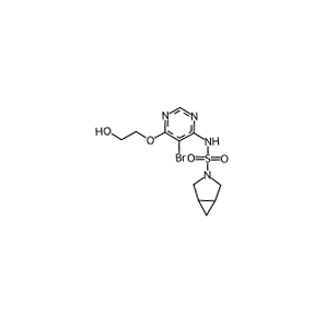 O=S(=O)(Nc1ncnc(OCCO)c1Br)N1CC2CC2C1